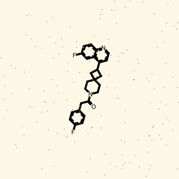 O=C(Cc1ccc(F)cc1)N1CCC2(CC1)CC(c1ccnc3ccc(F)cc13)C2